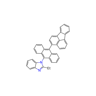 CCc1nc2ccccc2n1-c1c2ccccc2c(-c2ccc3c4c(cccc24)-c2ccccc2-3)c2ccccc12